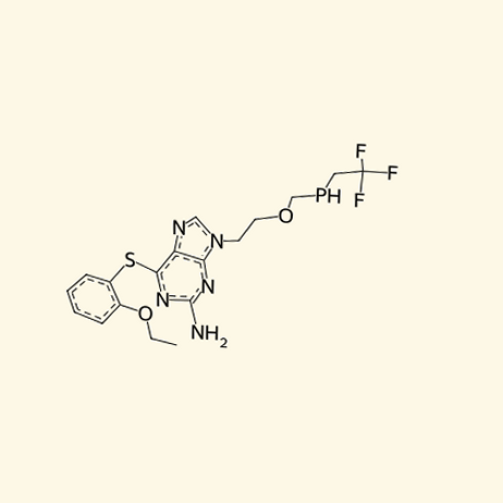 CCOc1ccccc1Sc1nc(N)nc2c1ncn2CCOCPCC(F)(F)F